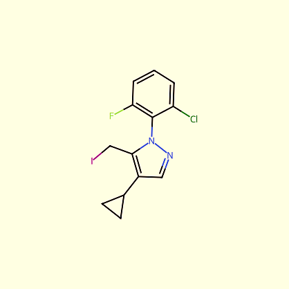 Fc1cccc(Cl)c1-n1ncc(C2CC2)c1CI